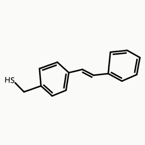 SCc1ccc(C=Cc2ccccc2)cc1